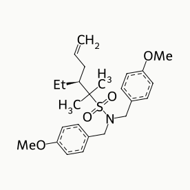 C=CC[C@H](CC)C(C)(C)S(=O)(=O)N(Cc1ccc(OC)cc1)Cc1ccc(OC)cc1